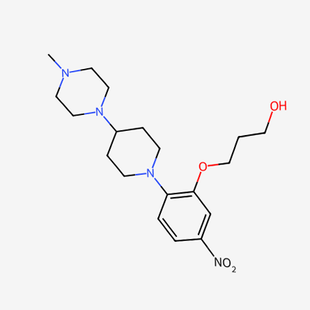 CN1CCN(C2CCN(c3ccc([N+](=O)[O-])cc3OCCCO)CC2)CC1